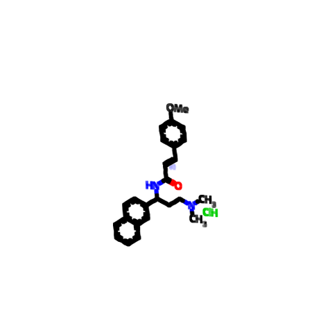 COc1ccc(/C=C/C(=O)NC(CCN(C)C)c2ccc3ccccc3c2)cc1.Cl